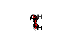 O=C1CCC(N2C(=O)c3ccc(N4CCN(CCCCC(=O)N5CCCC(Nc6ncnc7[nH]cc(C(=O)c8ccc(Oc9ccccc9)cc8Cl)c67)C5)CC4)cc3C2=O)C(=O)N1